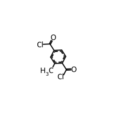 Cc1cc(C(=O)Cl)ccc1C(=O)Cl